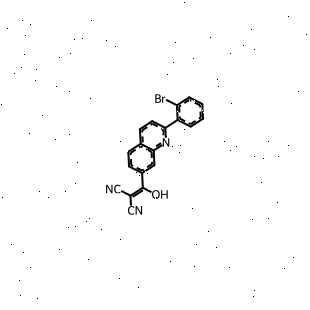 N#CC(C#N)=C(O)c1ccc2ccc(-c3ccccc3Br)nc2c1